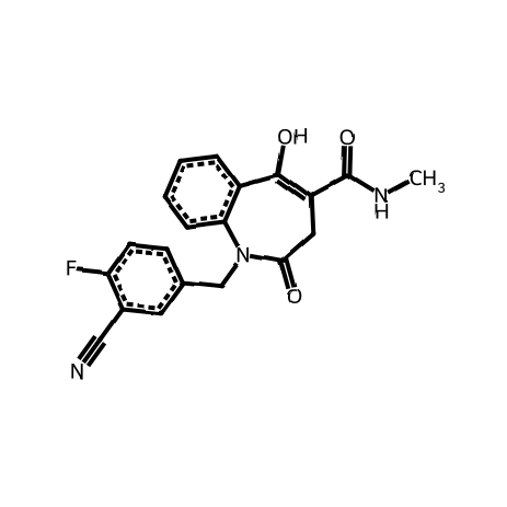 CNC(=O)C1=C(O)c2ccccc2N(Cc2ccc(F)c(C#N)c2)C(=O)C1